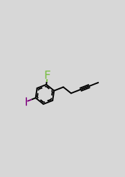 CC#CCCc1ccc(I)cc1F